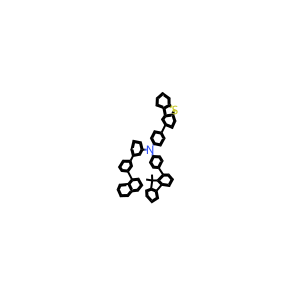 CC1(C)c2ccccc2-c2cccc(-c3ccc(N(c4ccc(-c5ccc6sc7ccccc7c6c5)cc4)c4cccc(-c5cccc(-c6cccc7ccccc67)c5)c4)cc3)c21